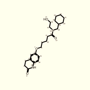 O=C1CCc2cc(OCCCCC(=O)N(CCO)CC3CCCCC3)ccc2N1